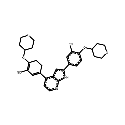 N#CC1=C(OC2CCOCC2)CCC(c2ccnc3[nH]c(-c4ccc(OC5CCOCC5)c(C#N)c4)cc23)=C1